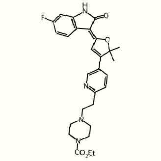 CCOC(=O)N1CCN(CCc2ccc(C3=CC(=C4C(=O)Nc5cc(F)ccc54)OC3(C)C)cn2)CC1